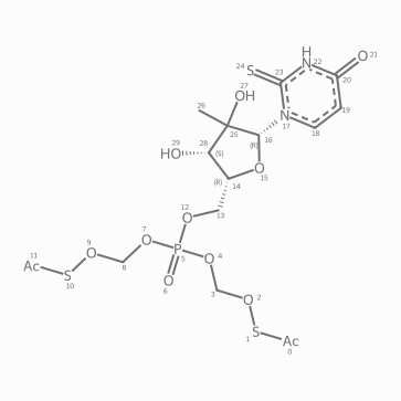 CC(=O)SOCOP(=O)(OCOSC(C)=O)OC[C@H]1O[C@@H](n2ccc(=O)[nH]c2=S)C(C)(O)[C@H]1O